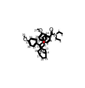 CCN(CC)C(=O)c1ccc(C(=C2CC3CCC(C2)N3CCc2ccc(OC)cc2)c2ccc(OC)cc2)cc1